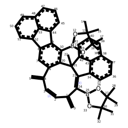 C=C1/C=C\C(=C)c2cc3c(c(B4OC(C)(C)C(C)(C)O4)c2C2(C)/C(=C\1B1OC(C)(C)C(C)(C)O1)c1cccc4cccc2c14)-c1cccc2cccc-3c12